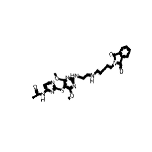 COc1nc(NCCNCCCCN2C(=O)c3ccccc3C2=O)nc(OC)c1Sc1nccc(NC(C)=O)n1